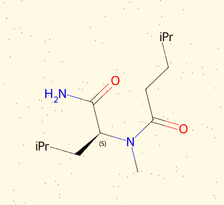 CC(C)CCC(=O)N(C)[C@@H](CC(C)C)C(N)=O